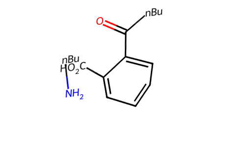 CCCCC(=O)c1ccccc1C(=O)O.CCCCN